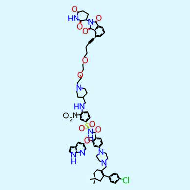 CC1(C)CCC(CN2CCN(c3ccc(C(=O)NS(=O)(=O)c4ccc(NCC5CCN(CCOCCOCCCC#Cc6cccc7c6C(=O)N(C6CCC(=O)NC6=O)C7=O)CC5)c([N+](=O)[O-])c4)c(Oc4cnc5[nH]ccc5c4)c3)CC2)=C(c2ccc(Cl)cc2)C1